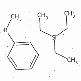 CC[Si](CC)CC.C[B]c1ccccc1